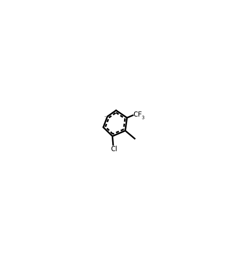 Cc1c(Cl)c[c]cc1C(F)(F)F